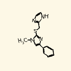 Cn1cc(-c2ccccc2)nc1SCc1ncc[nH]1